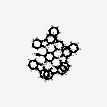 N#Cc1c(-n2c3ccccc3c3cnccc32)c(-c2nc(-c3ccccc3)cc(-c3ccccc3)n2)c(-n2c3ccccc3c3cnccc32)c(-n2c3ccccc3c3cnccc32)c1-n1c2ccccc2c2cnccc21